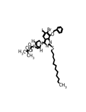 CCCCCCCCCCCCSc1nc(N2C[C@@H]3C[C@H]2CN3C(=O)OC(C)(C)C)c2cc(I)c(Br)c(OCc3ccccc3)c2n1